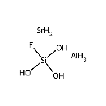 O[Si](O)(O)F.[AlH3].[SrH2]